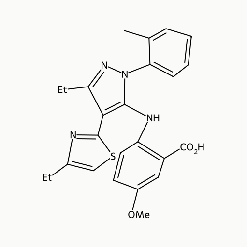 CCc1csc(-c2c(CC)nn(-c3ccccc3C)c2Nc2ccc(OC)cc2C(=O)O)n1